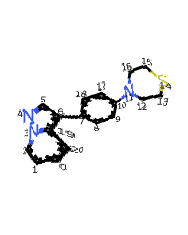 c1ccn2ncc(-c3ccc(N4CCSCC4)cc3)c2c1